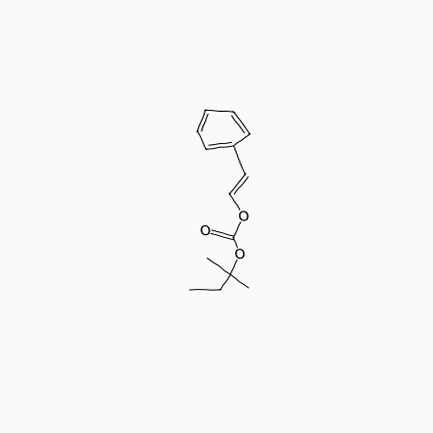 CCC(C)(C)OC(=O)OC=Cc1ccccc1